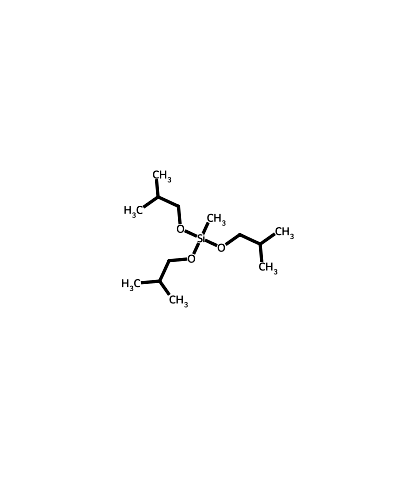 CC(C)CO[Si](C)(OCC(C)C)OCC(C)C